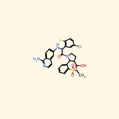 CCS(=O)(=O)c1ccccc1C1C(C(=O)O)CCN1C(=O)C(Nc1ccc2c(N)nccc2c1)c1cc(Cl)ccc1F